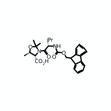 CC(C)[C@H](NC(=O)OCC1c2ccccc2-c2ccccc21)C(=O)N1[C@H](C(=O)O)[C@@H](C)OC1(C)C